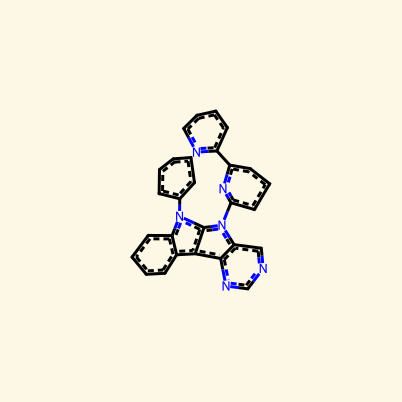 c1ccc(-n2c3ccccc3c3c4ncncc4n(-c4cccc(-c5ccccn5)n4)c32)cc1